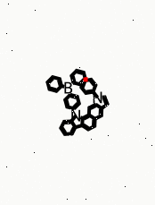 c1ccc(B(c2ccccc2)c2ccc(-n3c4ccccc4c4ccc5cc6ccn(-c7ccccc7)c6cc5c43)cc2)cc1